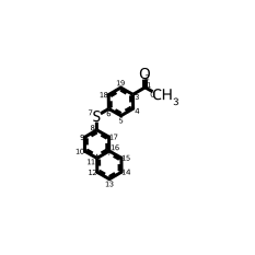 CC(=O)c1ccc(Sc2ccc3ccccc3c2)cc1